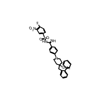 COC1(Cc2ccccc2-c2ccccc2)CCN(c2ccc(C(=N)NS(=O)(=O)c3ccc(F)c([N+](=O)[O-])c3)cc2)CC1